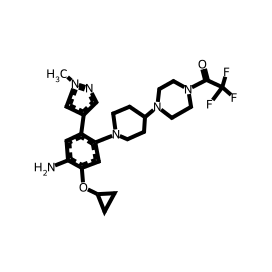 Cn1cc(-c2cc(N)c(OC3CC3)cc2N2CCC(N3CCN(C(=O)C(F)(F)F)CC3)CC2)cn1